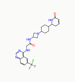 O=C1C=CCC(C2CCC(N3CC(NC(=O)CNc4ncnc5ccc(C(F)(F)F)cc45)C3)CC2)N1